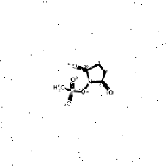 CS(=O)(=O)ON1C(=O)CCC1=O